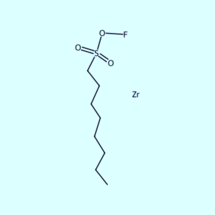 CCCCCCCCS(=O)(=O)OF.[Zr]